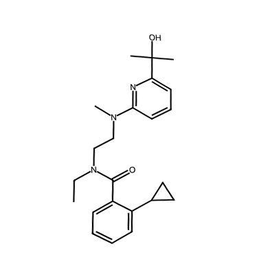 CCN(CCN(C)c1cccc(C(C)(C)O)n1)C(=O)c1ccccc1C1CC1